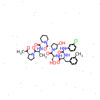 CC(=O)[C@@H]1CCCN1C(=O)[C@H](C)NC(=O)[C@@H]1CCCCN1C(=O)[C@@H]1C[C@@H](O)CN1C(=O)[C@H](CO)NC(=O)[C@H](Cc1cccc(C)c1)NC(=O)Nc1cccc(Cl)c1